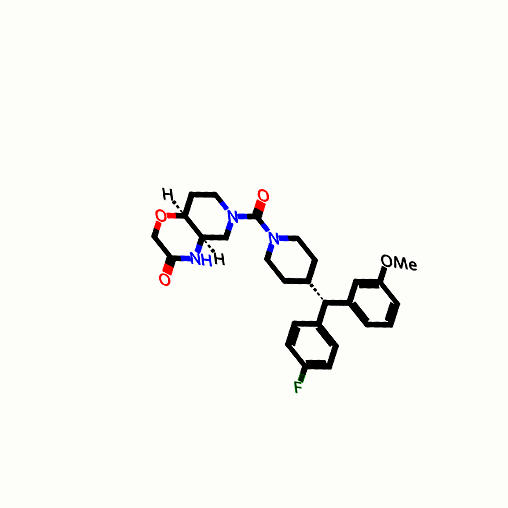 COc1cccc([C@H](c2ccc(F)cc2)C2CCN(C(=O)N3CC[C@@H]4OCC(=O)N[C@@H]4C3)CC2)c1